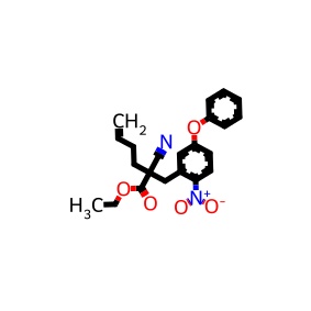 C=CCCC(C#N)(Cc1cc(Oc2ccccc2)ccc1[N+](=O)[O-])C(=O)OCC